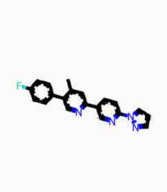 Cc1cc(-c2[c]nc(-n3cccn3)cc2)ncc1-c1ccc(F)cc1